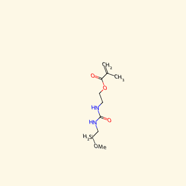 C=C(C)C(=O)OCCNC(=O)NC[SiH2]OC